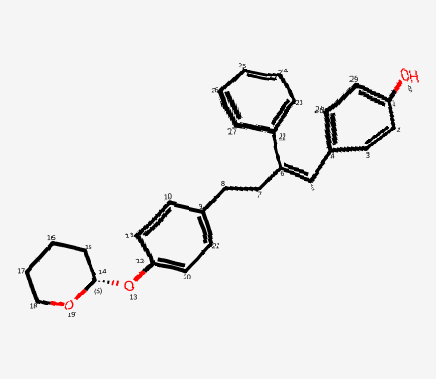 Oc1ccc(C=C(CCc2ccc(O[C@H]3CCCCO3)cc2)c2ccccc2)cc1